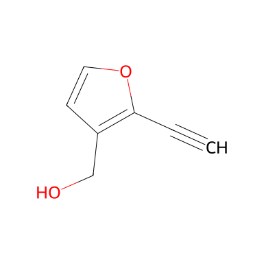 C#Cc1occc1CO